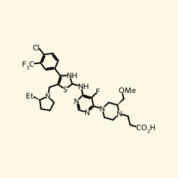 CC[C@@H]1CCCN1CC1=C(c2ccc(Cl)c(C(F)(F)F)c2)NC(Nc2ncnc(N3CCN(CCC(=O)O)[C@H](COC)C3)c2F)S1